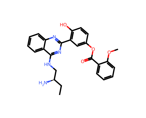 CC[C@@H](N)CNc1nc(-c2cc(OC(=O)c3ccccc3OC)ccc2O)nc2ccccc12